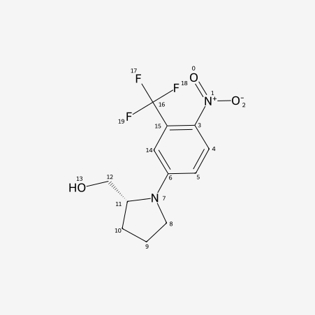 O=[N+]([O-])c1ccc(N2CCC[C@@H]2CO)cc1C(F)(F)F